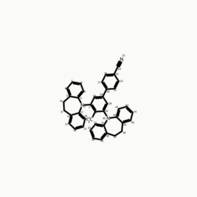 Cc1c(N2c3ccccc3CCc3ccccc32)cc(-c2ccc(C#N)cc2)cc1N1c2ccccc2CCc2ccccc21